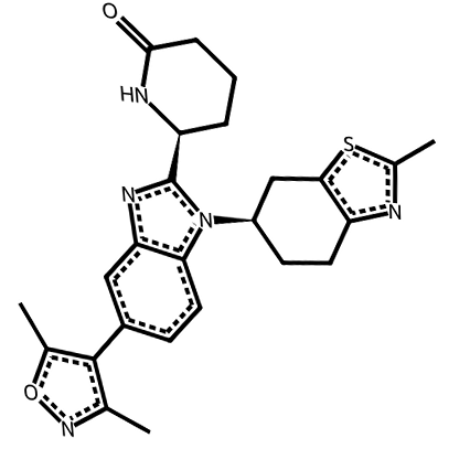 Cc1nc2c(s1)C[C@H](n1c([C@@H]3CCCC(=O)N3)nc3cc(-c4c(C)noc4C)ccc31)CC2